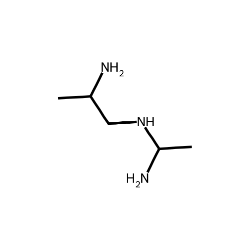 CC(N)CNC(C)N